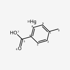 Cc1ccc(C(=O)O)cc1.[Hg]